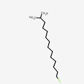 O=C(O)C(CCCCCCCCCCCCF)C(=O)O